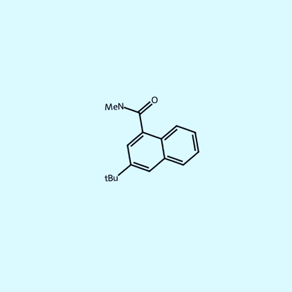 CNC(=O)c1cc(C(C)(C)C)cc2ccccc12